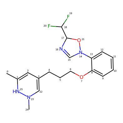 CC1=CC(CCCOc2ccccc2N2C=NC(C(F)F)O2)=CN(C)N1